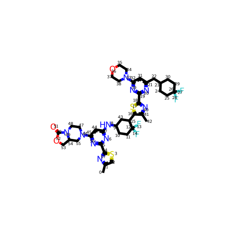 Cc1csc(-c2nc(NC3CCC(F)(F)C(c4sc(-c5nc(CC6CCC(F)(F)CC6)cc(N6CCOCC6)n5)nc4C)C3)cc(N3CCN4C(=O)OCC4C3)n2)n1